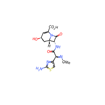 CON=C(C(=O)N[C@H]1C(=O)N2C(C(=O)O)=C[C@H](O)C[C@@H]12)c1csc(N)n1